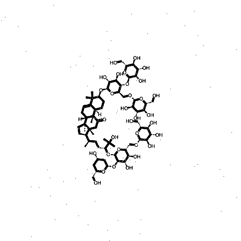 C[C@H](CC[C@@H](O[C@@H]1O[C@H](CO[C@@H]2O[C@H](CO)[C@@H](O)[C@H](O)[C@H]2O)[C@@H](O)[C@H](O)[C@H]1O[C@H]1C[C@@H](O)C[C@@H](CO)O1)C(C)(C)O)[C@H]1CC[C@@]2(C)[C@@H]3CC=C4[C@@H](CC[C@H](O[C@@H]5O[C@H](CO[C@@H]6O[C@H](CO)[C@@H](O)[C@H](O)[C@H]6O)[C@@H](O[C@H]6O[C@H](CO)[C@@H](O)[C@H](O)[C@H]6O)[C@H](O)[C@H]5O)C4(C)C)[C@]3(C)C(=O)C[C@]12C